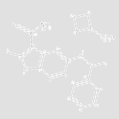 Cc1oc2ccc(OC(C)c3ccccc3)cc2c1C(N)=O.O=C(O)C1CCC1